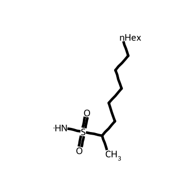 CCCCCCCCCCCC(C)S([NH])(=O)=O